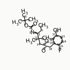 CCC(=NC(=O)OC(C)(C)C)C(C)(C)CS(=O)(=O)Cc1cc(O)ccc1F